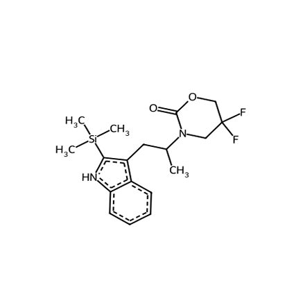 CC(Cc1c([Si](C)(C)C)[nH]c2ccccc12)N1CC(F)(F)COC1=O